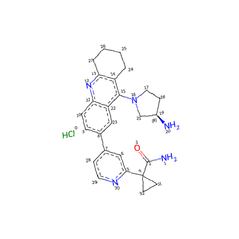 Cl.NC(=O)C1(c2cc(-c3ccc4nc5c(c(N6CC[C@@H](N)C6)c4c3)CCCC5)ccn2)CC1